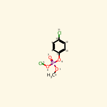 COP(=O)(OCl)Oc1ccc(Cl)cc1